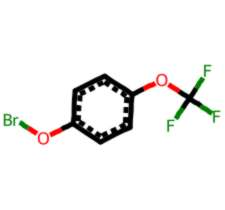 FC(F)(F)Oc1ccc(OBr)cc1